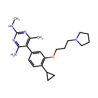 CNc1nc(C)c(-c2ccc(C3CC3)c(OCCCN3CCCC3)c2)c(N)n1